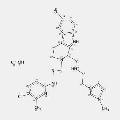 Cl.Cn1cc[n+](CCNCC2c3[nH]c4ccc(Cl)cc4c3CCN2CCNc2ccc(Cl)c(C(F)(F)F)n2)c1.[Cl-]